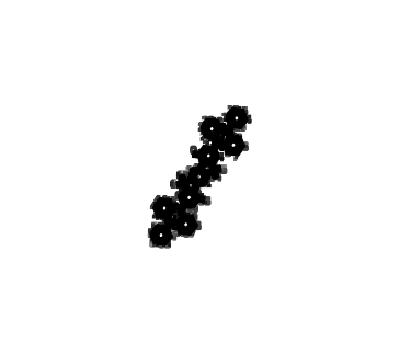 Cc1cc(N2c3ccccc3N(c3ccccc3)c3ccccc32)cc2c1-c1cc3c(cc1C2(C)C)-c1c(C)cc(N2c4ccccc4N(c4ccccc4)c4ccccc42)cc1C3(C)C